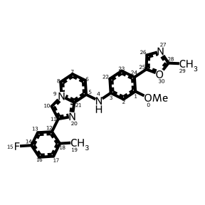 COc1cc(Nc2cccn3cc(-c4cc(F)ccc4C)nc23)ccc1-c1cnc(C)o1